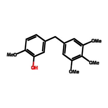 COc1ccc(Cc2cc(OC)c(OC)c(OC)c2)cc1O